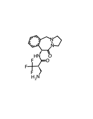 NC[C@H](C(=O)N[C@@H]1C(=O)N2CCCN2Cc2ccccc21)C(F)(F)F